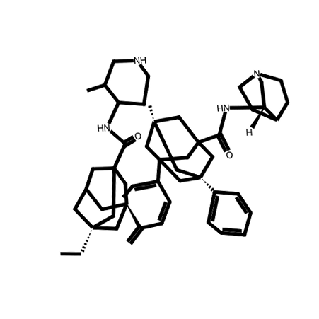 C=C(/C=C\C(=C/C)C12CC3(C(=O)N[C@@H]4CN5CCC4CC5)C[C@](C)(C1)C[C@@](c1ccccc1)(C3)C2)[C@]12CC3CC(C(=O)NC4CCNCC4C)(C[C@](CC)(C3)C1)C2